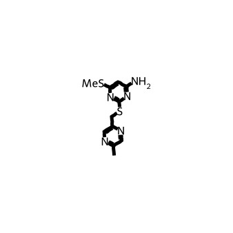 CSc1cc(N)nc(SCc2cnc(C)cn2)n1